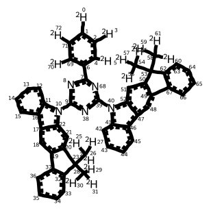 [2H]c1c([2H])c([2H])c(-c2nc(-n3c4ccccc4c4cc5c(cc43)C(C([2H])([2H])[2H])(C([2H])([2H])[2H])c3ccccc3-5)nc(-n3c4ccccc4c4cc5c(cc43)C(C([2H])([2H])[2H])(C([2H])([2H])[2H])c3ccccc3-5)n2)c([2H])c1[2H]